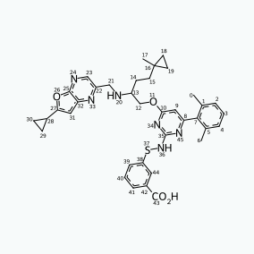 Cc1cccc(C)c1-c1cc(OCC(CCC2(C)CC2)NCc2cnc3oc(C4CC4)cc3n2)nc(NSc2cccc(C(=O)O)c2)n1